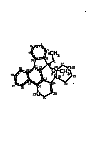 CCC1(OC)c2ccccc2-c2c1c1c(c3ccccc23)OCC=C1N1CCOCC1